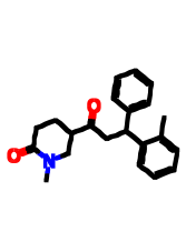 Cc1ccccc1C(CC(=O)C1CCC(=O)N(C)C1)c1ccccc1